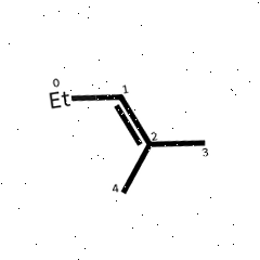 [CH2]CC=C(C)C